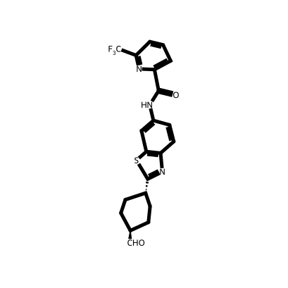 O=C[C@H]1CC[C@H](c2nc3ccc(NC(=O)c4cccc(C(F)(F)F)n4)cc3s2)CC1